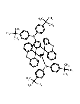 CC(C)(C)c1ccc(N(c2ccc(C(C)(C)C)cc2)c2cc3c(s2)C2(c4ccccc4Sc4ccccc42)c2cc(N(c4ccc(C(C)(C)C)cc4)c4ccc(C(C)(C)C)cc4)sc2C32c3ccccc3Sc3ccccc32)cc1